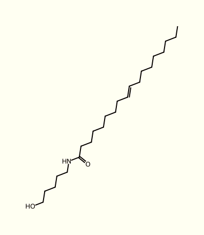 CCCCCCCCC=CCCCCCCCC(=O)NCCCCCO